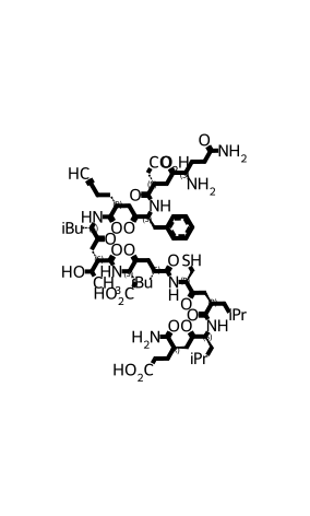 C#CCC[C@H](CC(=O)[C@H](Cc1ccccc1)NC(=O)[C@H](CC(=O)O)CC(=O)[C@@H](N)CCC(N)=O)C(=O)N[C@H](C(=O)C[C@H](C(=O)N[C@@H](CC(=O)O)C(=O)C[C@H](C(=O)N[C@@H](CS)C(=O)C[C@@H](CC(C)C)C(=O)N[C@@H](CC(C)C)C(=O)C[C@@H](CCC(=O)O)C(N)=O)C(C)CC)C(C)O)C(C)CC